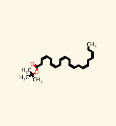 CC/C=C\C/C=C\C/C=C\C/C=C\C/C=C\C/C=C\CC(=O)OC(C)(C)C